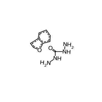 NNC(=O)NN.c1ccc2occc2c1